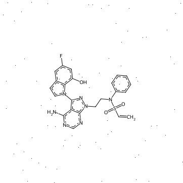 C=CS(=O)(=O)N(CCn1nc(-n2ccc3cc(F)cc(O)c32)c2c(N)ncnc21)c1ccccc1